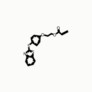 C=CC(=O)OCCOc1ccc(Sc2nc3ccccc3s2)cc1